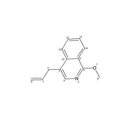 C=CCc1cnc(OC)c2ccccc12